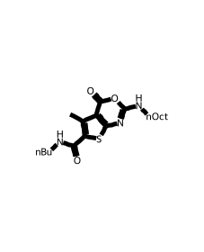 CCCCCCCCNc1nc2sc(C(=O)NCCCC)c(C)c2c(=O)o1